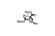 COC(=O)[C@@](C)(CNC(C)C)NC(=O)OC(C)(C)C